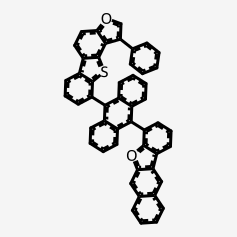 c1ccc(-c2coc3ccc4c5cccc(-c6c7ccccc7c(-c7cccc8c7oc7cc9ccccc9cc78)c7ccccc67)c5sc4c23)cc1